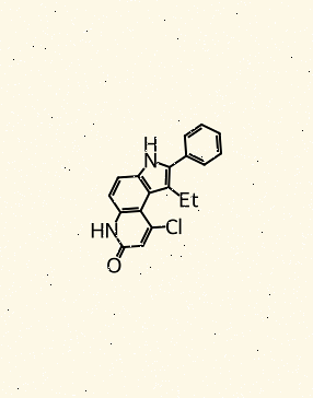 CCc1c(-c2ccccc2)[nH]c2ccc3[nH]c(=O)cc(Cl)c3c12